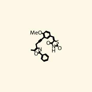 COc1ccc(C=C2SC(=O)NC2=O)cc1C#CCc1nc(-c2ccccc2)oc1C